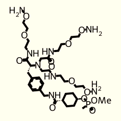 COP(C)(=O)O[C@H]1CC[C@H](C(=O)NCc2ccc(C[C@H](C(=O)NCCOCCON)N(CC(=O)NCCOCCON)CC(=O)NCCOCCON)cc2)CC1